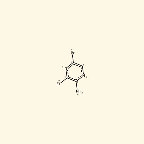 CCc1nc(Br)cnc1N